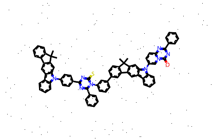 CC1(C)c2ccccc2-c2cc3c4ccccc4n(-c4ccc(-c5nc(-c6ccccc6)n(-c6cccc(-c7ccc8c(c7)-c7cc9c%10ccccc%10n(-c%10ccc%11nc(-c%12ccccc%12)nc(=O)n%11c%10)c9cc7C8(C)C)c6)c(=S)n5)cc4)c3cc21